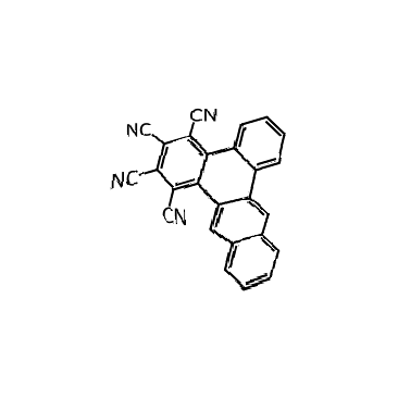 N#Cc1c(C#N)c(C#N)c2c3cc4ccccc4cc3c3ccccc3c2c1C#N